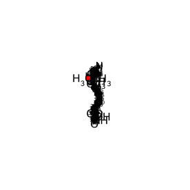 CC1(C)C(NC(=O)c2ccc(N3CCC(CN4CCN(c5ccc6c(c5)C(=O)N(C5CCC(=O)NC5O)C6=O)CC4)CC3)nn2)C2(C)c3ccnc4c(C#N)ccc(c34)O[C@@H]12